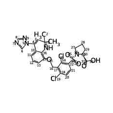 CC1(C)C=C(n2cncn2)c2cccc(OCc3c(Cl)ccc(S(=O)(=O)N4CCC[C@H]4C(=O)O)c3Cl)c2N1